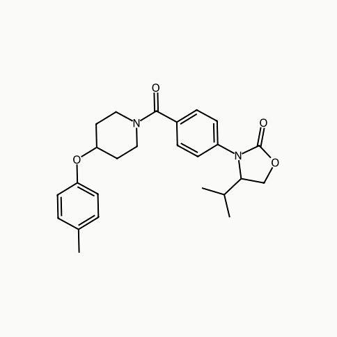 Cc1ccc(OC2CCN(C(=O)c3ccc(N4C(=O)OCC4C(C)C)cc3)CC2)cc1